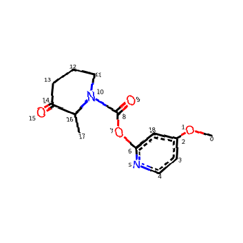 COc1ccnc(OC(=O)N2CCCC(=O)C2C)c1